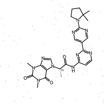 C[C@@H](C(=O)Nc1ccnc(-c2cnc(N3CCCC3(C)C)nc2)n1)n1cnc2c1c(=O)n(C)c(=O)n2C